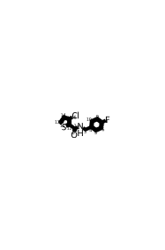 O=C(NCc1ccc(F)cc1)c1sccc1Cl